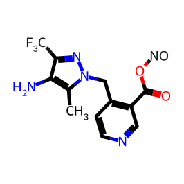 Cc1c(N)c(C(F)(F)F)nn1Cc1ccncc1C(=O)ON=O